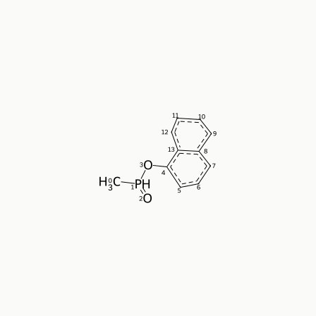 C[PH](=O)Oc1cccc2ccccc12